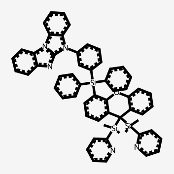 C[Si](C)(c1ccccn1)C1([Si](C)(C)c2ccccn2)c2ccccc2Oc2c1cccc2[Si](c1ccccc1)(c1ccccc1)c1cccc(-n2c3ccccc3n3c4ccccc4nc23)c1